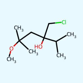 COC(C)(C)CC(O)(CCl)C(C)C